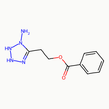 NN1NNN=C1CCOC(=O)c1ccccc1